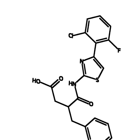 O=C(O)CC(Cc1ccccc1)C(=O)Nc1nc(-c2c(F)cccc2Cl)cs1